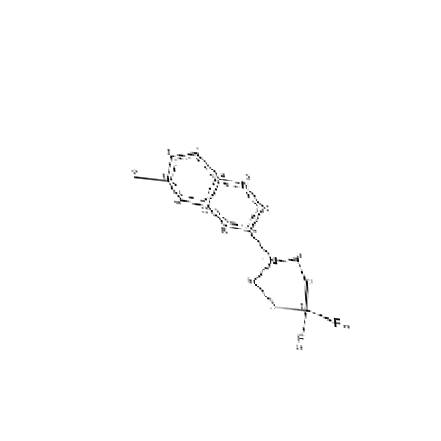 Cc1ccc2ncc(N3CCC(F)(F)CC3)cc2c1